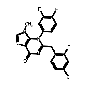 Cn1cnc2c(=O)nc(Cc3ccc(Cl)cc3F)n(-c3ccc(F)c(F)c3)c21